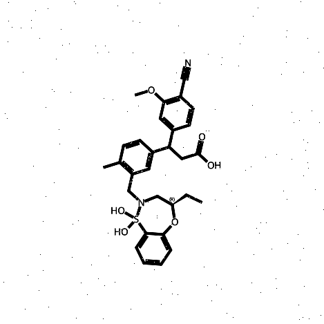 CC[C@@H]1CN(Cc2cc(C(CC(=O)O)c3ccc(C#N)c(OC)c3)ccc2C)S(O)(O)c2ccccc2O1